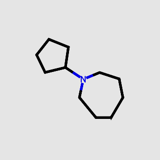 [CH]1CCCN(C2CCCC2)CC1